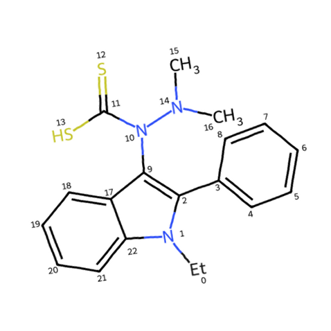 CCn1c(-c2ccccc2)c(N(C(=S)S)N(C)C)c2ccccc21